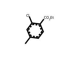 CCOC(=O)c1ccc(C)cc1Cl